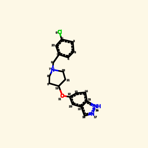 Clc1cccc(CN2CCC(Oc3ccc4[nH]ncc4c3)CC2)c1